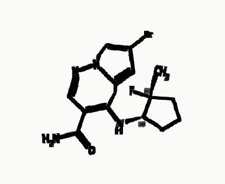 C[C@@]1(F)CCC[C@@H]1Nc1c(C(N)=O)cnn2cc(Br)cc12